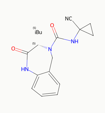 CC[C@H](C)[C@H]1C(=O)Nc2ccccc2CN1C(=O)NC1(C#N)CC1